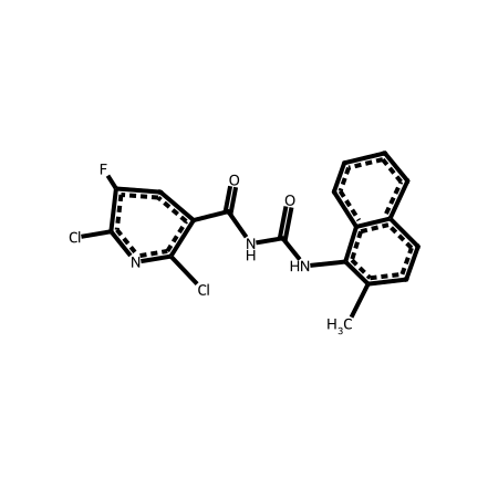 Cc1ccc2ccccc2c1NC(=O)NC(=O)c1cc(F)c(Cl)nc1Cl